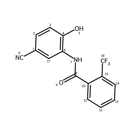 N#Cc1ccc(O)c(NC(=O)c2ccccc2C(F)(F)F)c1